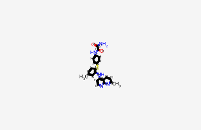 Cc1ccc(Sc2ccc(NC(=O)C(N)=O)cc2)c(Nc2ccnc3nc(C)ccc23)c1